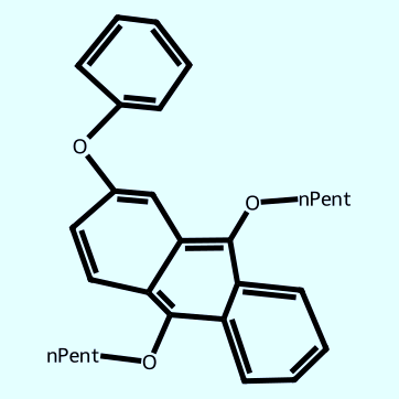 CCCCCOc1c2ccccc2c(OCCCCC)c2cc(Oc3ccccc3)ccc12